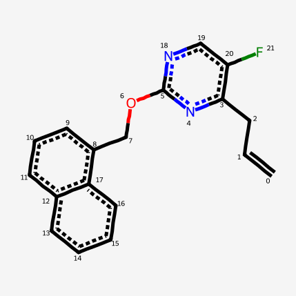 C=CCc1nc(OCc2cccc3ccccc23)ncc1F